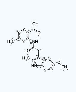 COc1ccc2[nH]c(C)c(CC(=O)Nc3cc(C)ccc3C(=O)O)c2c1